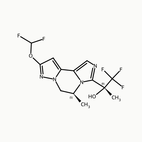 C[C@H]1Cn2nc(OC(F)F)cc2-c2cnc([C@@](C)(O)C(F)(F)F)n21